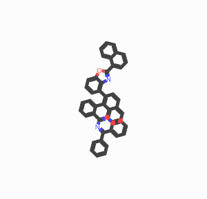 c1ccc(-c2nc(-c3ccccc3-c3c(-c4cccc5oc(-c6cccc7ccccc67)nc45)ccc4ccccc34)nc3ccccc23)cc1